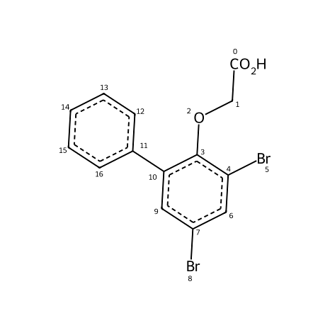 O=C(O)COc1c(Br)cc(Br)cc1-c1ccccc1